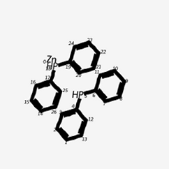 [Zn].c1ccc(Pc2ccccc2)cc1.c1ccc(Pc2ccccc2)cc1